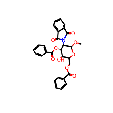 COC1OC(COC(=O)c2ccccc2)C(O)[C@H](OC(=O)c2ccccc2)C1N1C(=O)c2ccccc2C1=O